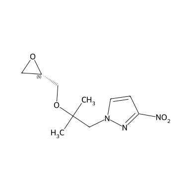 CC(C)(Cn1ccc([N+](=O)[O-])n1)OC[C@@H]1CO1